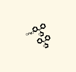 [Cl][Pd][Cl].c1ccc(P(c2ccccc2)c2ccco2)cc1.c1ccc(P(c2ccccc2)c2ccco2)cc1